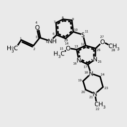 CC=CC(=O)Nc1cccc(Sc2c(OC)nc(N3CCN(C)CC3)nc2OC)c1